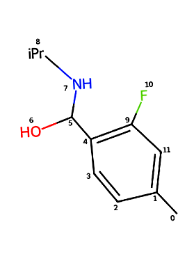 Cc1ccc(C(O)NC(C)C)c(F)c1